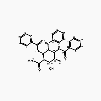 COC(=O)C1C(OC(=O)c2ccccc2)C(Sc2ccccc2)C(OC(=O)c2ccccc2)[C@@H](C)[C@@H]1O